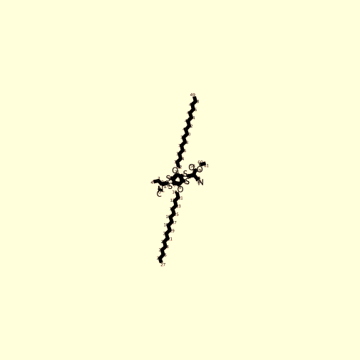 [C-]#[N+]C(CC)=C1Sc2c(OCCCCCCCCCCCCCCCCCC)c3c(c(OCCCCCCCCCCCCCCCCCC)c2S1)SC(=C(C#N)C(=O)OCC)S3